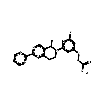 CC1c2cnc(-c3ncccn3)nc2CCN1c1cc(OCC(N)=O)cc(F)n1